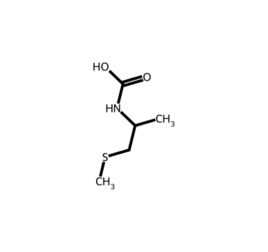 CSCC(C)NC(=O)O